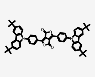 CC(C)(C)c1ccc2c(c1)c1cc(C(C)(C)C)ccc1n2-c1ccc(C2=C3C(=O)OC(c4ccc(-n5c6ccc(C(C)(C)C)cc6c6cc(C(C)(C)C)ccc65)cc4)=C3C(=O)O2)cc1